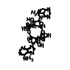 NCc1c2ncnc1N([C@@H]1O[C@@H]3COP(=O)(O)N[C@H]4[C@@H](O)[C@H](n5cnc6c(N)ncnc65)O[C@@H]4COP(=O)(S)N[C@H]3[C@H]1O)C=NC2